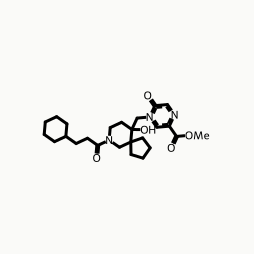 COC(=O)c1cn(CC2(O)CCN(C(=O)CCC3CCCCC3)CC23CCCC3)c(=O)cn1